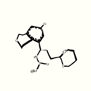 CC(C)(C)[S+]([O-])N[C@@H](CCC1OCCCO1)c1cc(Cl)cc2c1COC2